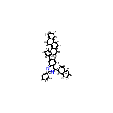 c1ccc(-c2nc(-c3ccc4ccccc4c3)c3ccc(-c4cccc5c4ccc4ccc6c7ccccc7ccc6c45)cc3n2)cc1